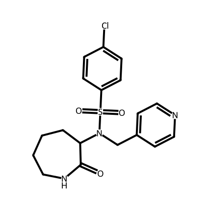 O=C1NCCCCC1N(Cc1ccncc1)S(=O)(=O)c1ccc(Cl)cc1